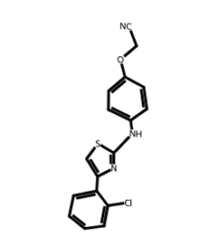 N#CCOc1ccc(Nc2nc(-c3ccccc3Cl)cs2)cc1